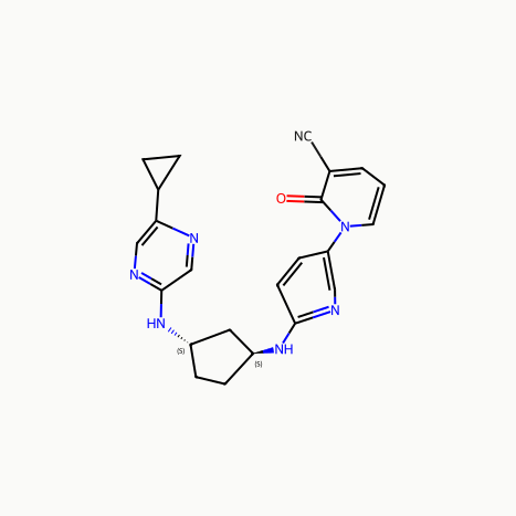 N#Cc1cccn(-c2ccc(N[C@H]3CC[C@H](Nc4cnc(C5CC5)cn4)C3)nc2)c1=O